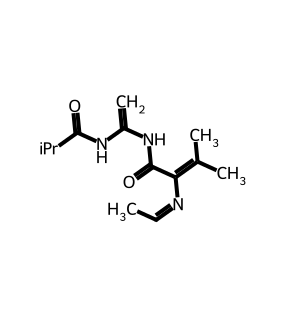 C=C(NC(=O)C(/N=C\C)=C(C)C)NC(=O)C(C)C